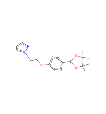 CC1(C)OB(c2ccc(OCCn3cccn3)cc2)OC1(C)C